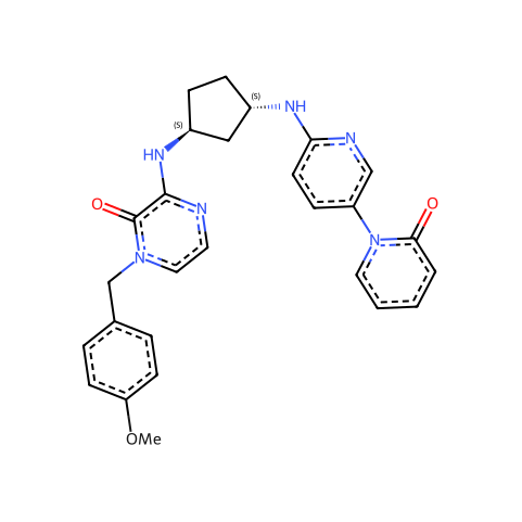 COc1ccc(Cn2ccnc(N[C@H]3CC[C@H](Nc4ccc(-n5ccccc5=O)cn4)C3)c2=O)cc1